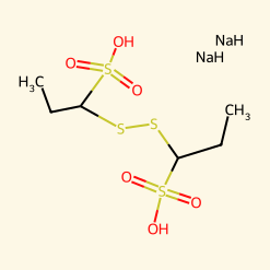 CCC(SSC(CC)S(=O)(=O)O)S(=O)(=O)O.[NaH].[NaH]